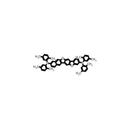 Cc1ccc(C)c(N(c2ccc3cc4c(cc3c2)oc2cc3c(cc24)oc2cc(N(c4cc(C)ccc4C)c4cc(C)ccc4C)ccc23)c2cc(C)ccc2C)c1